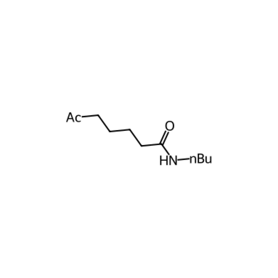 CCCCNC(=O)CCCCC(C)=O